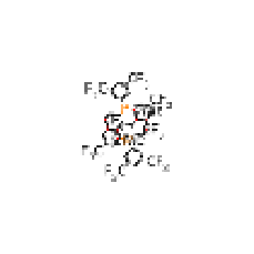 COc1cccc(P(c2cc(C(F)(F)F)cc(C(F)(F)F)c2)c2cc(C(F)(F)F)cc(C(F)(F)F)c2)c1-c1c(OC)cccc1P(c1cc(C(F)(F)F)cc(C(F)(F)F)c1)c1cc(C(F)(F)F)cc(C(F)(F)F)c1